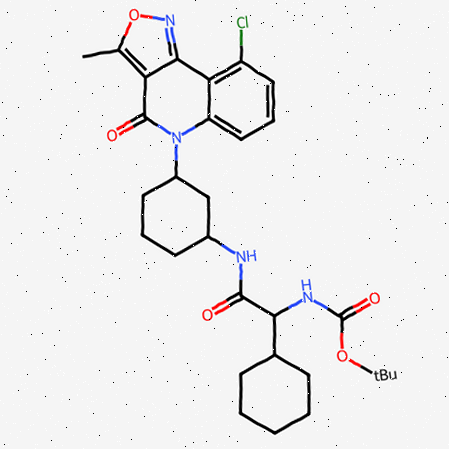 Cc1onc2c1c(=O)n(C1CCCC(NC(=O)C(NC(=O)OC(C)(C)C)C3CCCCC3)C1)c1cccc(Cl)c21